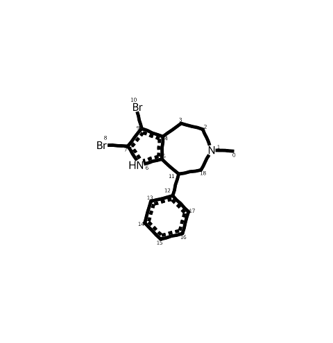 CN1CCc2c([nH]c(Br)c2Br)C(c2ccccc2)C1